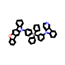 c1ccc([Si](c2ccccc2)(c2ccc(-n3c4ccccc4c4cc5oc6ccccc6c5cc43)cc2)c2cccc(-n3c4ccccc4c4cnccc43)c2)cc1